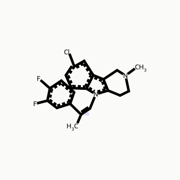 C/C(=C/n1c2c(c3cc(Cl)ccc31)CN(C)CC2)c1ccc(F)c(F)c1